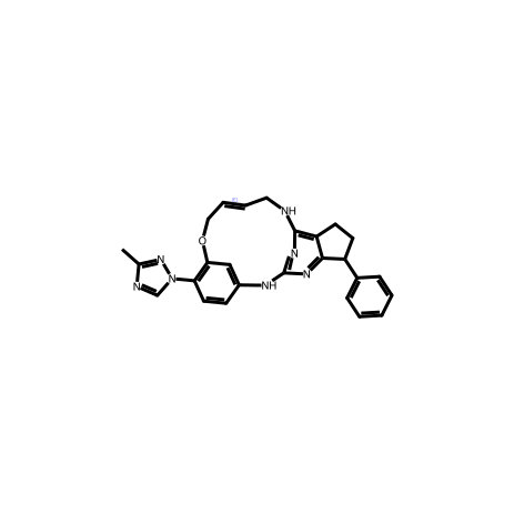 Cc1ncn(-c2ccc3cc2OC/C=C/CNc2nc(nc4c2CCC4c2ccccc2)N3)n1